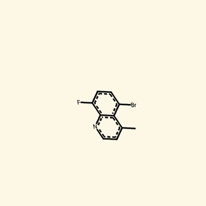 Cc1ccnc2c(F)ccc(Br)c12